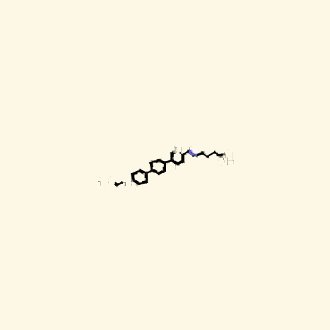 C=CCOc1ccc(-c2ccc(-c3ccc(/C=C/CCCC(C)O)nc3)cc2)cc1